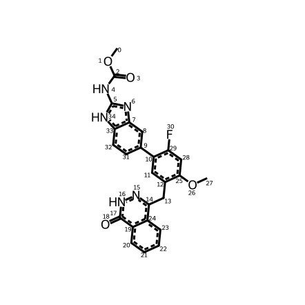 COC(=O)Nc1nc2cc(-c3cc(Cc4n[nH]c(=O)c5ccccc45)c(OC)cc3F)ccc2[nH]1